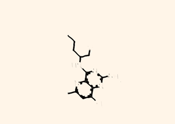 CCCC(CO)Nc1nc(N)nc2c(Cl)cc(C)nc12